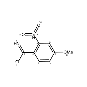 COc1ccc(C(=N)Cl)c([SH](=O)=O)c1